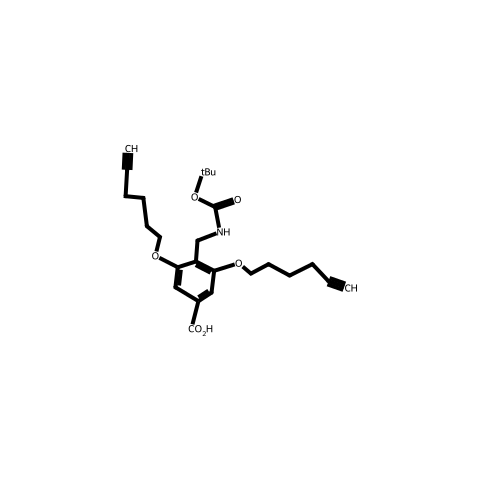 C#CCCCCOc1cc(C(=O)O)cc(OCCCCC#C)c1CNC(=O)OC(C)(C)C